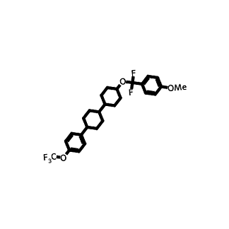 COc1ccc(C(F)(F)OC2CCC(C3CCC(c4ccc(OC(F)(F)F)cc4)CC3)CC2)cc1